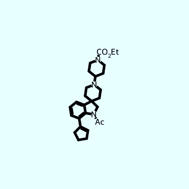 CCOC(=O)N1CCC(N2CCC3(CC2)CN(C(C)=O)c2c(C4=CCCC4)cccc23)CC1